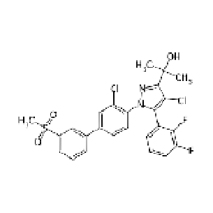 CC(C)(O)c1nn(-c2ccc(-c3cccc(S(C)(=O)=O)c3)cc2Cl)c(-c2cccc(F)c2F)c1Cl